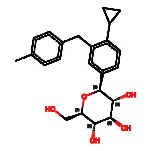 Cc1ccc(Cc2cc([C@@H]3O[C@H](CO)[C@@H](O)[C@H](O)[C@H]3O)ccc2C2CC2)cc1